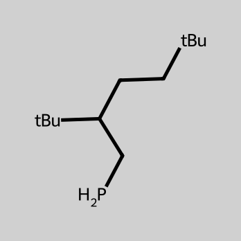 CC(C)(C)CCC(CP)C(C)(C)C